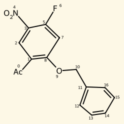 CC(=O)c1cc([N+](=O)[O-])c(F)cc1OCc1ccccc1